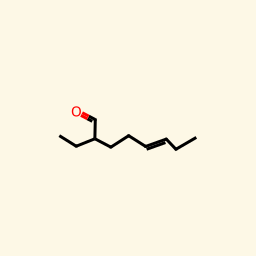 CCC=CCCC(C=O)CC